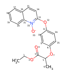 CCOC(=O)C(C)Oc1ccc(Oc2ccc3ccccc3[n+]2[O-])cc1